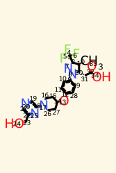 C[C@@H]1C(C(F)(F)F)=NN(c2ccc(OC3CCN(c4cncc(CO)n4)CC3)cc2)[C@H]1CC(=O)O